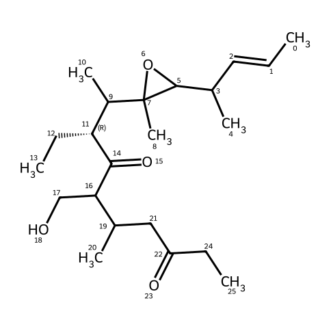 CC=CC(C)C1OC1(C)C(C)[C@@H](CC)C(=O)C(CO)C(C)CC(=O)CC